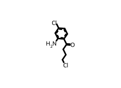 Nc1cc(Cl)ccc1C(=O)CCCCl